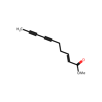 CC#CC#CCC/C=C/C(=O)OC